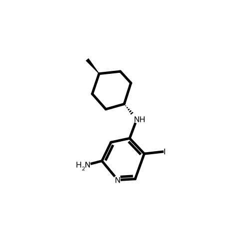 C[C@H]1CC[C@H](Nc2cc(N)ncc2I)CC1